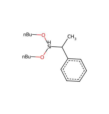 CCCCO[SiH](OCCCC)C(C)c1ccccc1